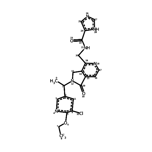 CC(c1cnc(OCC(F)(F)F)c(Cl)c1)N1Cc2c(ccnc2CNC(=O)c2cnc[nH]2)C1=O